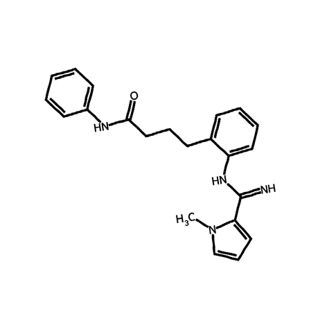 Cn1cccc1C(=N)Nc1ccccc1CCCC(=O)Nc1ccccc1